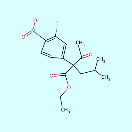 CCOC(=O)C(CC(C)C)(C(C)=O)c1ccc([N+](=O)[O-])c(F)c1